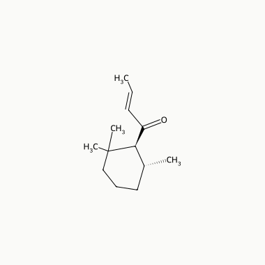 C/C=C/C(=O)[C@H]1[C@H](C)CCCC1(C)C